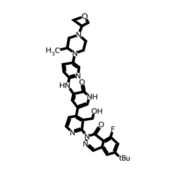 CC1CN(C2COC2)CCN1c1ccc(Nc2cc(-c3ccnc(-n4ncc5cc(C(C)(C)C)cc(F)c5c4=O)c3CO)c[nH]c2=O)nc1